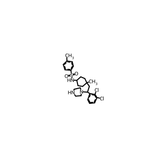 Cc1ccc(S(=O)(=O)NC2CCC(C)(CC(c3cccc(Cl)c3Cl)N3CCNCC3)CC2)cc1